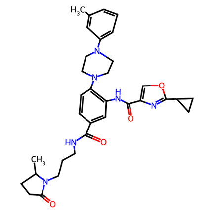 Cc1cccc(N2CCN(c3ccc(C(=O)NCCCN4C(=O)CCC4C)cc3NC(=O)c3coc(C4CC4)n3)CC2)c1